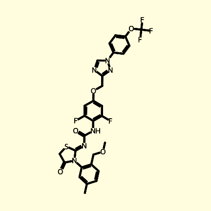 COCc1ccc(C)cc1N1C(=O)CS/C1=N\C(=O)Nc1c(F)cc(OCc2ncn(-c3ccc(OC(F)(F)F)cc3)n2)cc1F